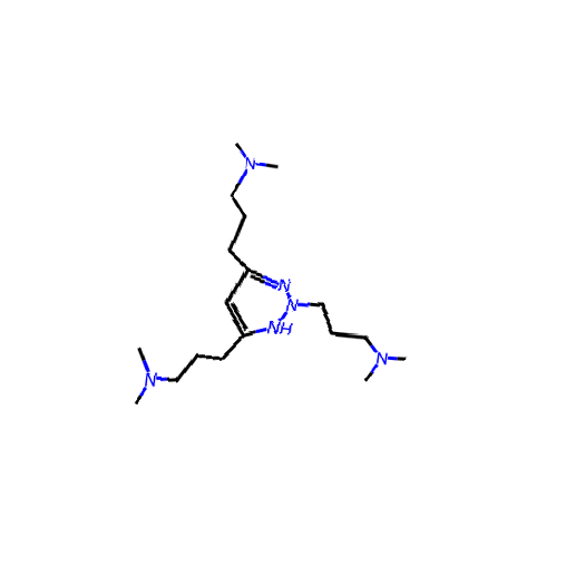 CN(C)CCCC1=CC(CCCN(C)C)=NN(CCCN(C)C)N1